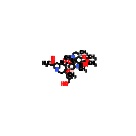 CC[C@]1(O)C[C@H]2CN(CCC3=C(Bc4ccc(CO)cc43)[C@@](C(=O)OC)(C3C=C4C(=CC3OC)N(C)[C@H]3[C@@](O)(C(=O)OC)[C@H](OC(C)=O)[C@]5(CC)C=CCN6CC[C@]43[C@@H]65)C2)C1